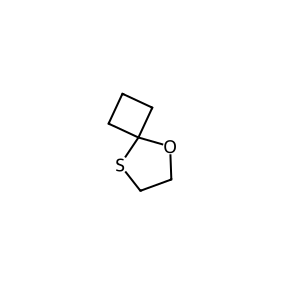 C1CC2(C1)OCCS2